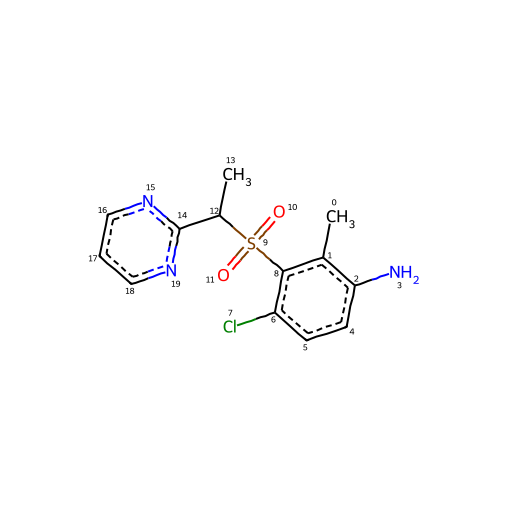 Cc1c(N)ccc(Cl)c1S(=O)(=O)C(C)c1ncccn1